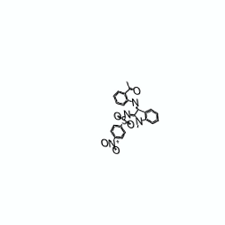 CC(=O)c1ccccc1/N=C1\C(=NS(=O)(=O)c2ccc([N+](=O)[O-])cc2)N(C)c2ccccc21